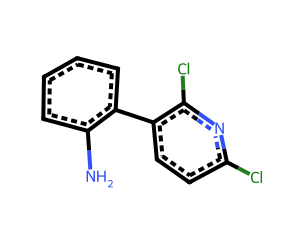 Nc1ccccc1-c1ccc(Cl)nc1Cl